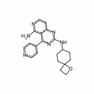 Nc1nccc2nc(NC3CCC4(CCO4)CC3)nc(-c3ccncc3)c12